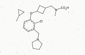 CC1CC1.CN(CC1CC(Oc2cccc(CN3CCCC3)c2Cl)C1)C(=O)O